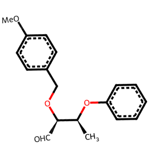 COc1ccc(CO[C@H](C=O)[C@H](C)Oc2ccccc2)cc1